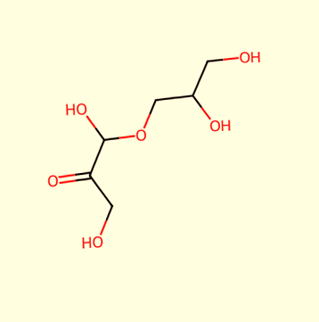 O=C(CO)C(O)OCC(O)CO